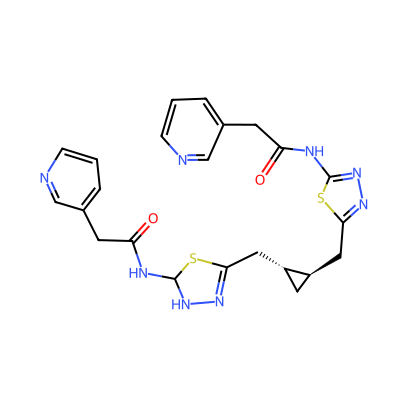 O=C(Cc1cccnc1)Nc1nnc(C[C@H]2C[C@@H]2CC2=NNC(NC(=O)Cc3cccnc3)S2)s1